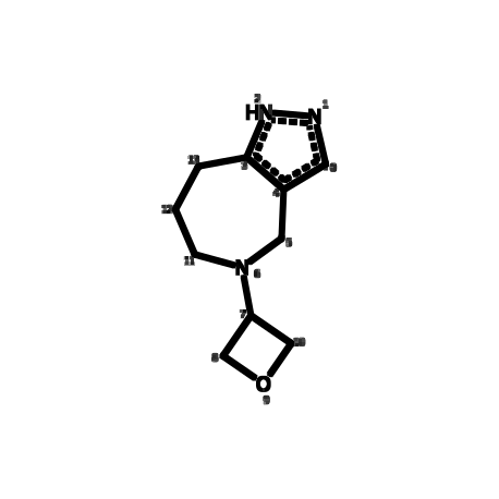 [c]1n[nH]c2c1CN(C1COC1)CCC2